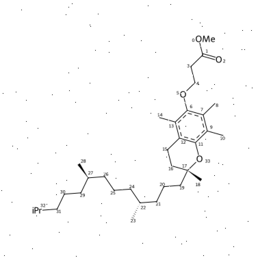 COC(=O)CCOc1c(C)c(C)c2c(c1C)CC[C@@](C)(CCC[C@H](C)CCC[C@H](C)CCCC(C)C)O2